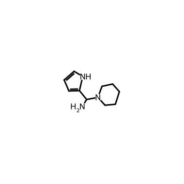 NC(c1ccc[nH]1)N1CCCCC1